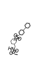 C=CS(=O)(=O)NCC1CCCN(S(=O)(=O)c2ccc(-c3ccccc3)cc2)C1